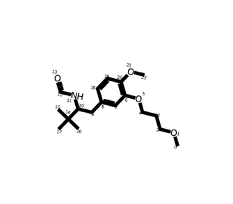 COCCCOc1cc(CC(NC=O)C(C)(C)C)ccc1OC